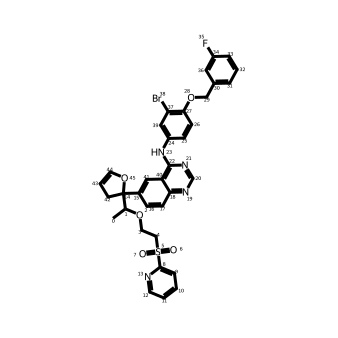 CC(OCCS(=O)(=O)c1ccccn1)C1(c2ccc3ncnc(Nc4ccc(OCc5cccc(F)c5)c(Br)c4)c3c2)CC=CO1